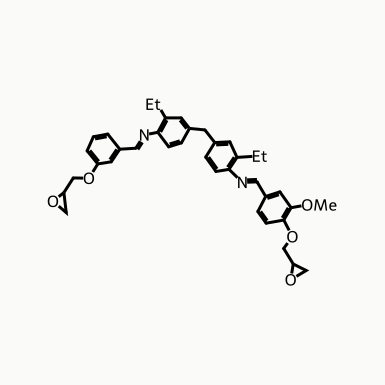 CCc1cc(Cc2ccc(/N=C/c3ccc(OCC4CO4)c(OC)c3)c(CC)c2)ccc1/N=C/c1cccc(OCC2CO2)c1